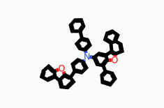 c1ccc(-c2ccc(N(c3ccc(-c4cccc5c4oc4ccccc45)cc3)c3cc(-c4ccccc4)c4oc5ccc6ccccc6c5c4c3)cc2)cc1